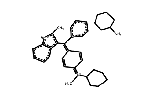 Cc1[nH]c2ccccc2c1C(=C1C=CC(=[N+](C)C2CCCCC2)C=C1)c1ccccc1.NC1CCCCC1